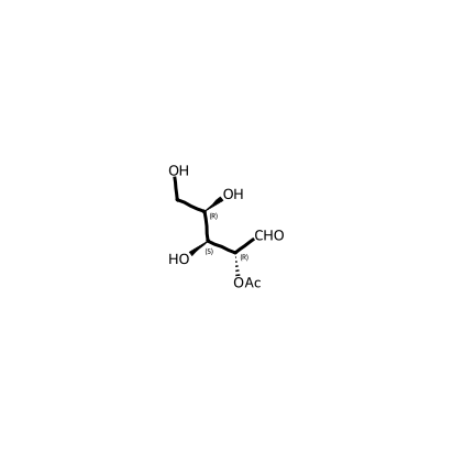 CC(=O)O[C@@H](C=O)[C@@H](O)[C@H](O)CO